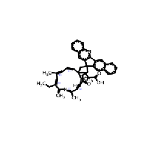 C=C1/N=C(C)/C=C\C(C)C(CCC(=O)O)(CC2(CCC(=O)O)c3cc4ccccc4cc3-c3nc4ccccc4cc32)\C=C/C=C(C)/C=C/1CC